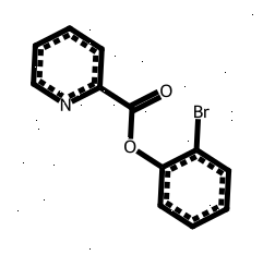 O=C(Oc1ccccc1Br)c1ccccn1